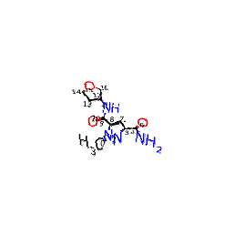 Cn1nc(C(N)=O)[c]c1C(=O)NC1CCOC1